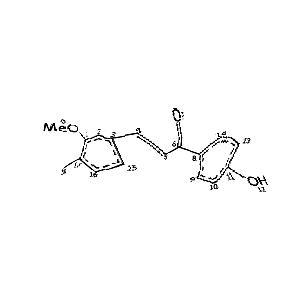 COc1cc(/C=C/C(=O)c2ccc(O)cc2)ccc1C